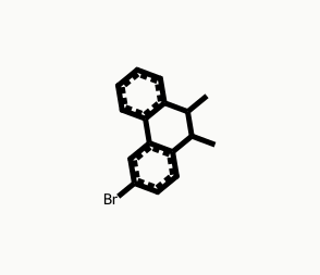 CC1c2ccccc2-c2cc(Br)ccc2C1C